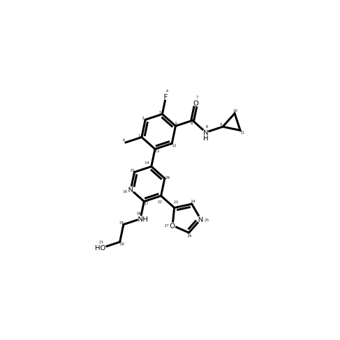 Cc1cc(F)c(C(=O)NC2CC2)cc1-c1cnc(NCCO)c(-c2cnco2)c1